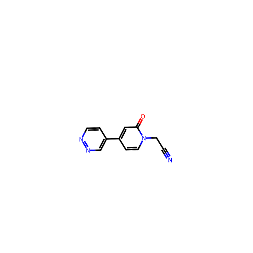 N#CCn1ccc(-c2ccnnc2)cc1=O